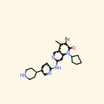 CC(=O)c1c(C)c2cnc(Nc3ccc(C4CCNCC4)cn3)cc2n(C2CCCC2)c1=O